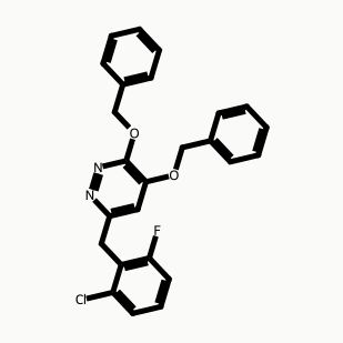 Fc1cccc(Cl)c1Cc1cc(OCc2ccccc2)c(OCc2ccccc2)nn1